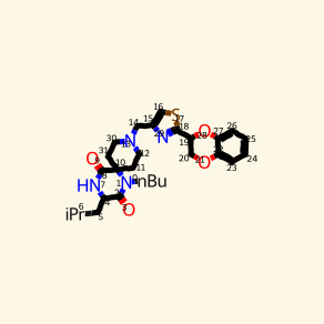 CCCCN1C(=O)C(CC(C)C)NC(=O)C12CCN(Cc1csc(C3COc4ccccc4O3)n1)CC2